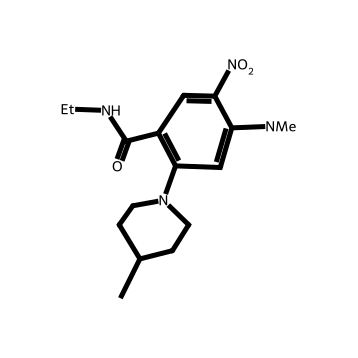 CCNC(=O)c1cc([N+](=O)[O-])c(NC)cc1N1CCC(C)CC1